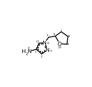 Nc1cnn(CC2CCCO2)c1